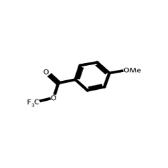 COc1ccc(C(=O)OC(F)(F)F)cc1